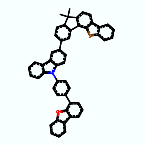 CC1(C)c2ccc(-c3ccc4c(c3)c3ccccc3n4-c3ccc(-c4cccc5c4oc4ccccc45)cc3)cc2-c2c1ccc1c2sc2ccccc21